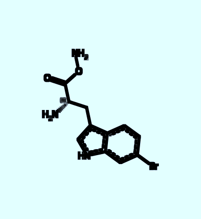 NOC(=O)[C@@H](N)Cc1c[nH]c2cc(Br)ccc12